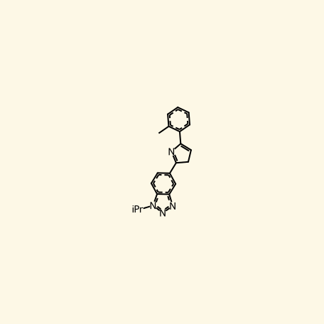 Cc1ccccc1C1=CCC(c2ccc3c(c2)nnn3C(C)C)=N1